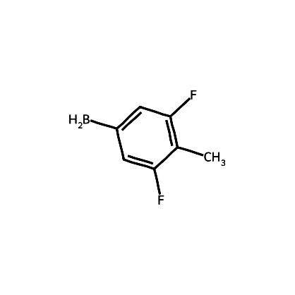 Bc1cc(F)c(C)c(F)c1